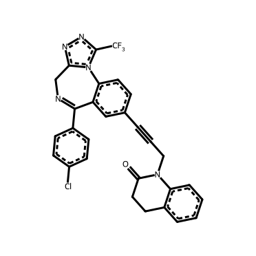 O=C1CCc2ccccc2N1CC#Cc1ccc2c(c1)C(c1ccc(Cl)cc1)=NCc1nnc(C(F)(F)F)n1-2